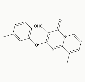 Cc1cccc(Oc2nc3c(C)cccn3c(=O)c2C=O)c1